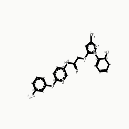 O=C(COc1cc(C(F)(F)F)nn1C1=CC=CCC1Cl)Nc1ccc(Oc2cccc(C(F)(F)F)c2)nc1